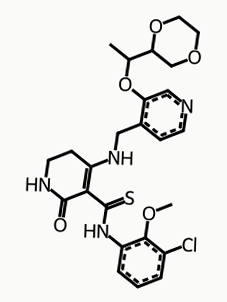 COc1c(Cl)cccc1NC(=S)C1=C(NCc2ccncc2OC(C)C2COCCO2)CCNC1=O